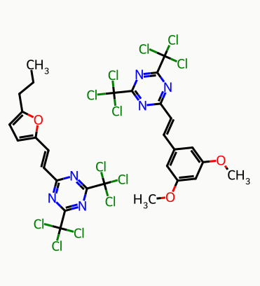 CCCc1ccc(C=Cc2nc(C(Cl)(Cl)Cl)nc(C(Cl)(Cl)Cl)n2)o1.COc1cc(C=Cc2nc(C(Cl)(Cl)Cl)nc(C(Cl)(Cl)Cl)n2)cc(OC)c1